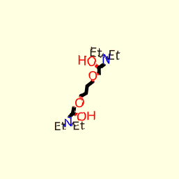 CCN(CC)CC(O)COCCCCOCC(O)CN(CC)CC